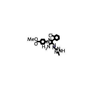 COC(=O)c1ccc(-n2nc(-c3ccccc3Cl)c(/N=N/c3n[nH]c(C)n3)c2N)cc1